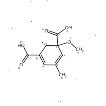 COC1(C(=O)O)C=C(C)C=C(C(=O)O)C1